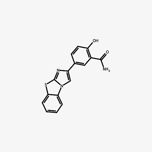 NC(=O)c1cc(-c2cn3c(n2)sc2ccccc23)ccc1O